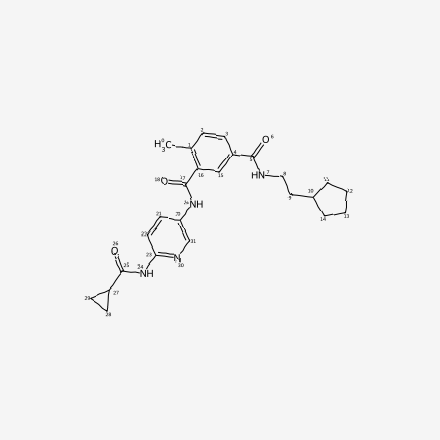 Cc1ccc(C(=O)NCCC2CCCC2)cc1C(=O)Nc1ccc(NC(=O)C2CC2)nc1